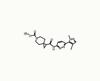 Cc1cnn(C)c1-c1ccc(NC(=O)C2CC23CCN(C(=O)OC(C)(C)C)CC3)nn1